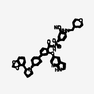 O=C(NS(=O)(=O)c1ccc(NCC2CCOCC2)c([N+](=O)[O-])c1)c1ccc(C2=CCC(N3CCCC3c3cccc4c3OCO4)CC2)cc1Oc1cnc2[nH]ccc2c1